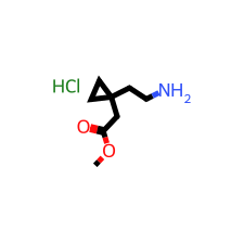 COC(=O)CC1(CCN)CC1.Cl